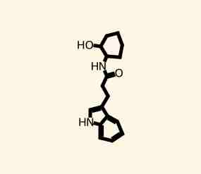 O=C(CCc1c[nH]c2ccccc12)NC1CCCCC1O